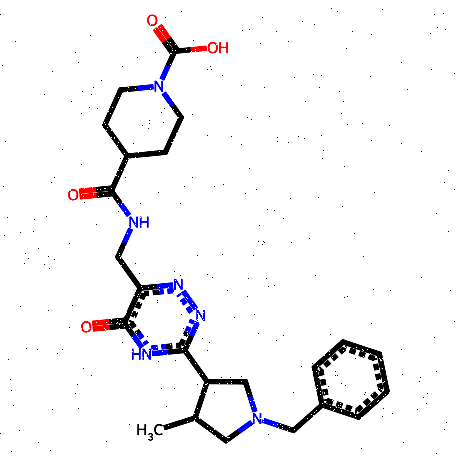 CC1CN(Cc2ccccc2)CC1c1nnc(CNC(=O)C2CCN(C(=O)O)CC2)c(=O)[nH]1